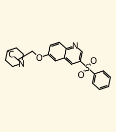 O=S(=O)(c1ccccc1)c1cnc2ccc(OCC3CC4CCN3CC4)cc2c1